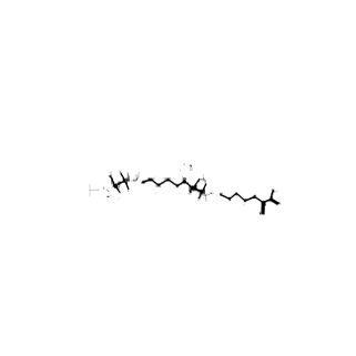 C=C(C)C(=C)CCCCCOC(C)(C)C(C)(C)C(=O)CCCCCOC(C)(C)C(C)(C)S